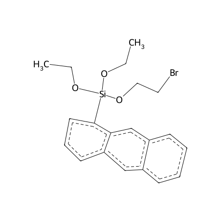 CCO[Si](OCC)(OCCBr)c1cccc2cc3ccccc3cc12